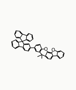 CC1(C)c2cc(-c3ccc4c(c3)C3(c5ccccc5-c5ccccc53)c3ccccc3-4)ccc2Oc2c1ccc1c2oc2ccccc21